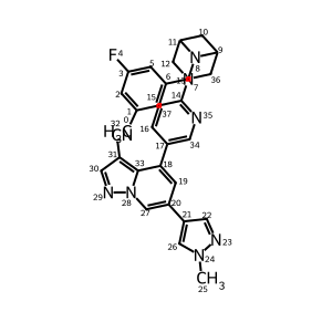 Cc1cc(F)cc(CN2C3CC2CN(c2ccc(-c4cc(-c5cnn(C)c5)cn5ncc(C#N)c45)cn2)C3)c1